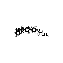 CCC(=O)Oc1ccc(-c2ccc(S(=O)(=O)Nc3ccccc3)cc2)cc1